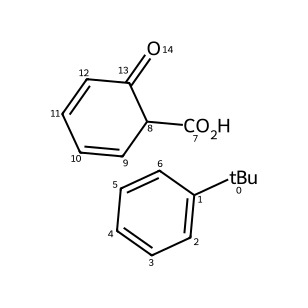 CC(C)(C)c1ccccc1.O=C(O)C1C=CC=CC1=O